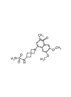 COc1cc2c(N3CC4(CC(NS(N)(=O)=O)C4)C3)cn(C)c(=O)c2cc1OC